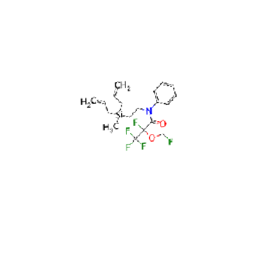 C=CC[Si](C)(CC=C)CCN(C(=O)C(F)(OCF)C(F)(F)F)c1ccccc1